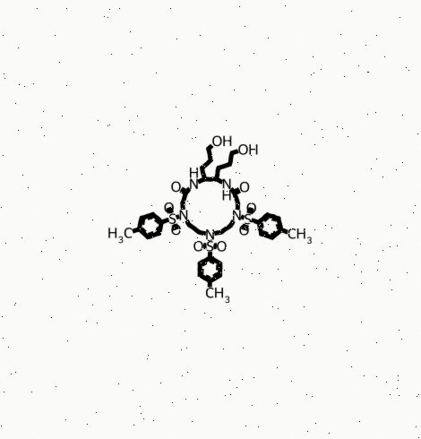 Cc1ccc(S(=O)(=O)N2CCN(S(=O)(=O)c3ccc(C)cc3)CC(=O)NC(CCCO)C(CCCO)NC(=O)CN(S(=O)(=O)c3ccc(C)cc3)CC2)cc1